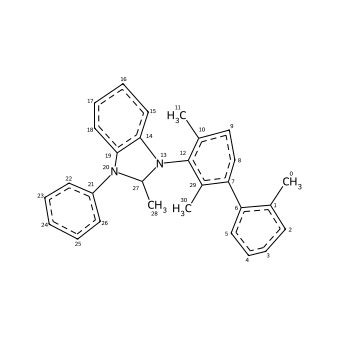 Cc1ccccc1-c1ccc(C)c(N2c3ccccc3N(c3ccccc3)C2C)c1C